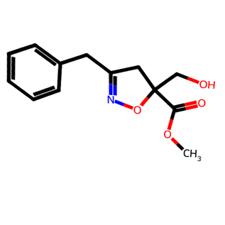 COC(=O)C1(CO)CC(Cc2ccccc2)=NO1